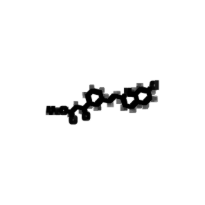 COC(=O)CC(=O)c1cccc(/C=C/c2ccc3ccc(Cl)cc3n2)c1